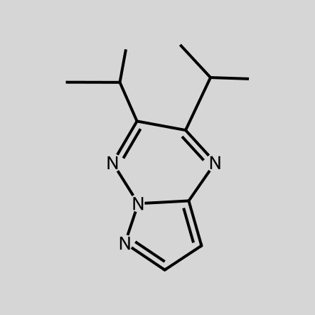 CC(C)c1nc2ccnn2nc1C(C)C